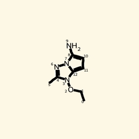 CCOn1c(C)nn2c(N)ccc12